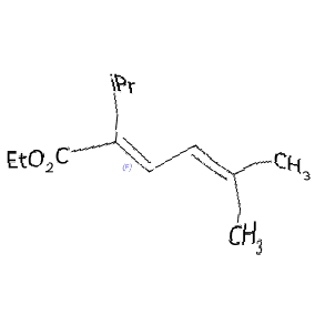 CCOC(=O)/C(=C/C=C(C)C)C(C)C